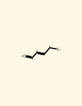 O=C/C=[C]/C[S]